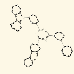 c1ccc(-c2cccc(-c3nc(-c4cccc(-n5c6ccccc6c6ccccc65)c4)nc(-c4ccc5c(c4)sc4ccccc45)n3)c2)cc1